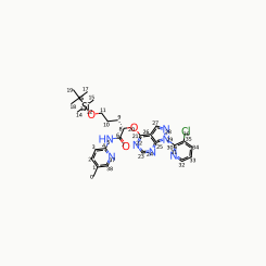 Cc1ccc(NC(=O)[C@H](CCCO[Si](C)(C)C(C)(C)C)Oc2ncnc3c2cnn3-c2ncccc2Cl)nc1